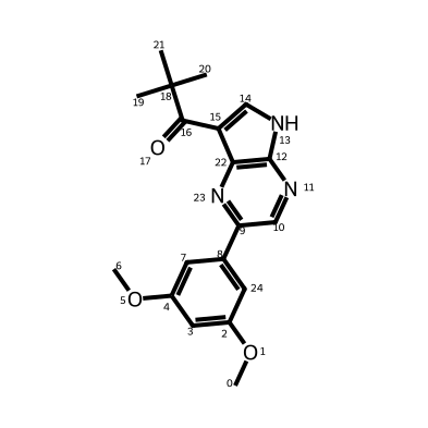 COc1cc(OC)cc(-c2cnc3[nH]cc(C(=O)C(C)(C)C)c3n2)c1